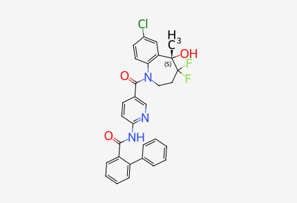 C[C@]1(O)c2cc(Cl)ccc2N(C(=O)c2ccc(NC(=O)c3ccccc3-c3ccccc3)nc2)CCC1(F)F